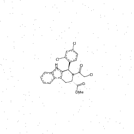 COC(=O)[C@@H]1Cc2c([nH]c3ccccc23)[C@@H](c2ccc(Cl)cc2Cl)N1C(=O)CCl